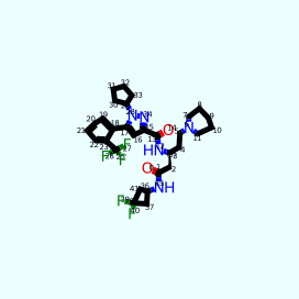 O=C(C[C@H](CCN1CCCCC1)NC(=O)c1cc(-c2ccccc2C(F)(F)F)n(C2CCCC2)n1)NC1CC(F)(F)C1